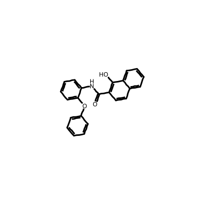 O=C(Nc1ccccc1Oc1ccccc1)c1ccc2ccccc2c1O